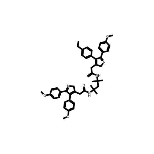 C=C(CC1=C(c2ccc(CC)cc2)C(c2ccc(OC)cc2)=NC1)NC(C)(C)CC(C)(C)NC(=O)CC1=C(c2ccc(OC)cc2)C(c2ccc(OC)cc2)=NC1